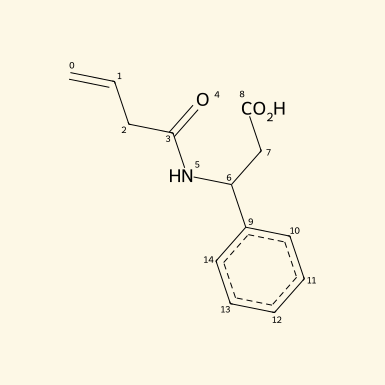 C=CCC(=O)NC(CC(=O)O)c1ccccc1